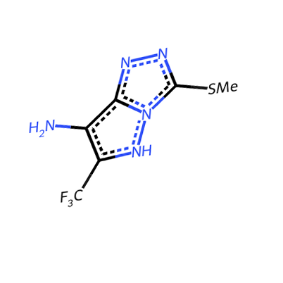 CSc1nnc2c(N)c(C(F)(F)F)[nH]n12